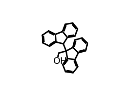 OCC1(C2c3ccccc3-c3ccccc32)c2ccccc2-c2ccccc21